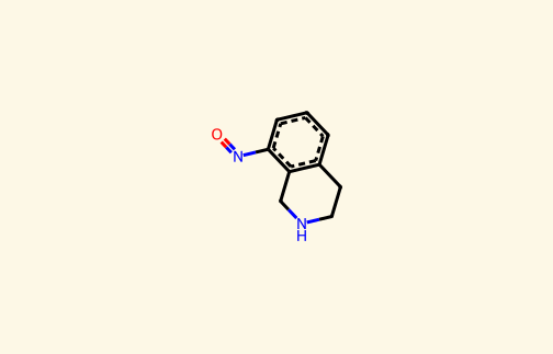 O=Nc1cccc2c1CNCC2